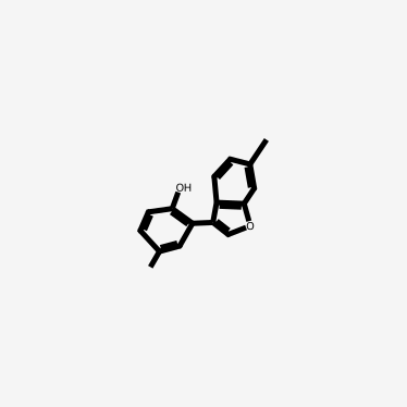 Cc1ccc(O)c(-c2coc3cc(C)ccc23)c1